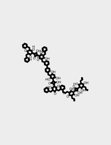 C=CCC1=C(O)/C(=C2/C(=O)C(c3c(O)c(CC=C)c(O)c(CC=C)c3O)=C2O)C(O)=C(C/C=C\c2ccccc2CC2=C(O)/C(=C3/C(=O)C(c4c(O)cc(O)c(Cc5ccc(-c6cccc(Cc7c(O)c(Cc8ccccc8)c(O)c(C8=C(O)C(=C9C(O)=C(Cc%10ccccc%10)C(=O)C(Cc%10ccccc%10)=C9O)C8=O)c7O)c6)cc5)c4O)=C3O)C(O)=C(Cc3ccccc3)C2=O)C1=O